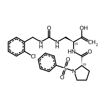 C=C(O)[C@H](CNC(=O)NCc1ccccc1Cl)NC(=O)[C@@H]1CCCN1S(=O)(=O)c1ccccc1